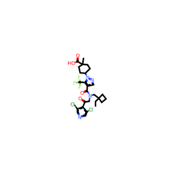 CCC1(CN(CC(=O)c2c(Cl)cncc2Cl)C(=O)c2cnn(C3CCC(C)(C(=O)O)CC3)c2C(F)(F)F)CCC1